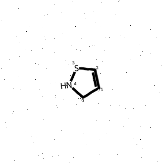 [C]1[C]=CSN1